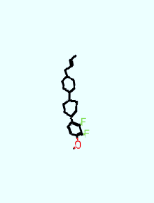 CC=CCC1CCC(C2CCC(c3ccc(OC)c(F)c3F)CC2)CC1